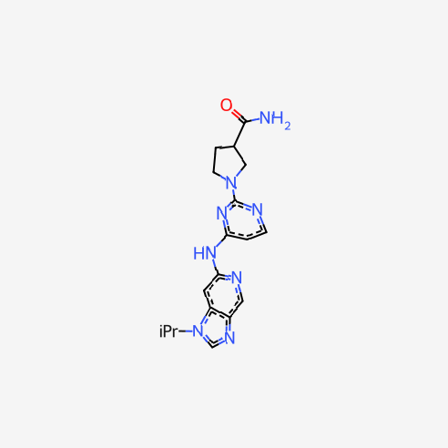 CC(C)n1cnc2cnc(Nc3ccnc(N4CCC(C(N)=O)C4)n3)cc21